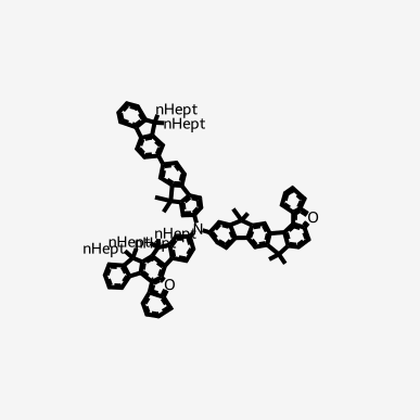 CCCCCCCC1(CCCCCCC)c2ccccc2-c2ccc(-c3ccc4c(c3)C(C)(C)c3cc(N(c5ccc6c(c5)C(C)(C)c5cc7c(cc5-6)C(C)(C)c5ccc6oc8ccccc8c6c5-7)c5ccc6c(c5)C(CCCCCCC)(CCCCCCC)c5c7c(c8c(oc9ccccc98)c5-6)-c5ccccc5C7(CCCCCCC)CCCCCCC)ccc3-4)cc21